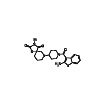 CCN1C(=O)SC2(CCCN(C3CCN(C(=O)c4c(N)sc5ccccc45)CC3)C2)C1=O